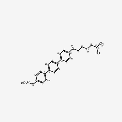 CCCCCCCCOc1cnc(-c2ccc(-c3ccc(OCCOC[C@@H](C#N)CC)cc3)cc2)nc1